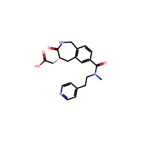 CN(CCc1ccncc1)C(=O)c1ccc2c(c1)C[C@H](CC(=O)O)C(=O)NC2